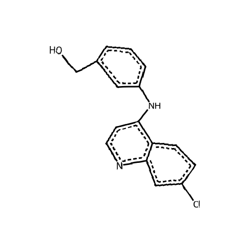 OCc1cccc(Nc2ccnc3cc(Cl)ccc23)c1